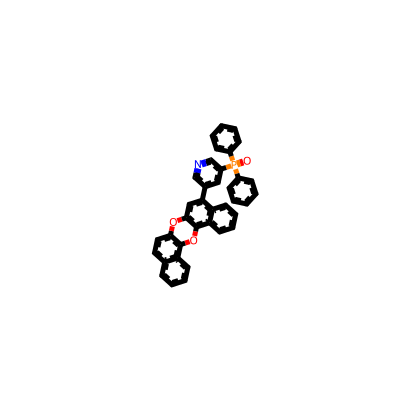 O=P(c1ccccc1)(c1ccccc1)c1cncc(-c2cc3c(c4ccccc24)Oc2c(ccc4ccccc24)O3)c1